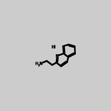 I.NCCc1ccc2ccccc2n1